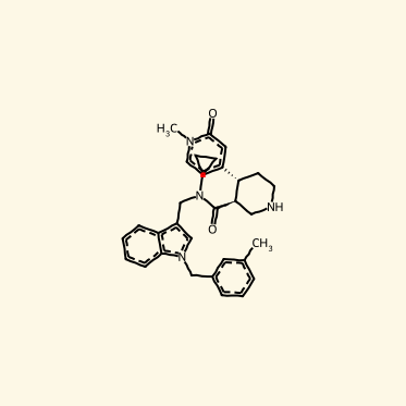 Cc1cccc(Cn2cc(CN(C(=O)[C@@H]3CNCC[C@H]3c3ccn(C)c(=O)c3)C3CC3)c3ccccc32)c1